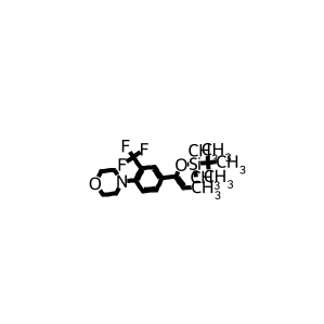 CC=C(O[Si](C)(C)C(C)(C)C)c1ccc(N2CCOCC2)c(C(F)(F)F)c1